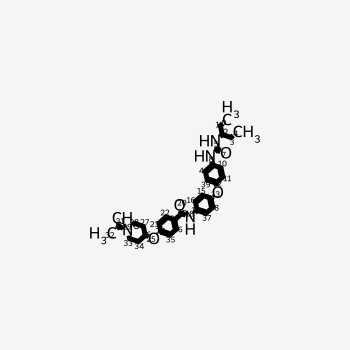 CCC(CC)NC(=O)Nc1ccc(Oc2ccc(NC(=O)c3ccc(OC4CCN(C(C)C)CC4)cc3)cc2)cc1